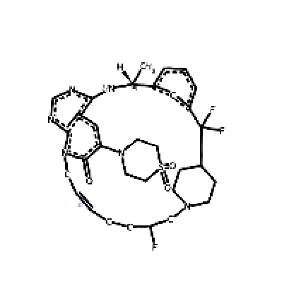 C[C@H]1Nc2ncnc3c2cc(N2CCS(=O)(=O)CC2)c(=O)n3C/C=C\CCC(F)CN2CCC(CC2)C(F)(F)c2cccc1c2